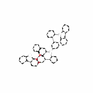 c1ccc(-c2cccc(-c3ccccc3N(c3cccc(-c4ccccc4-n4c5ccccc5c5ccccc54)c3)c3cccc(-c4cccc5c4oc4ccccc45)c3)c2)cc1